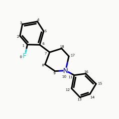 Fc1ccccc1C1CCN(c2ccccc2)CC1